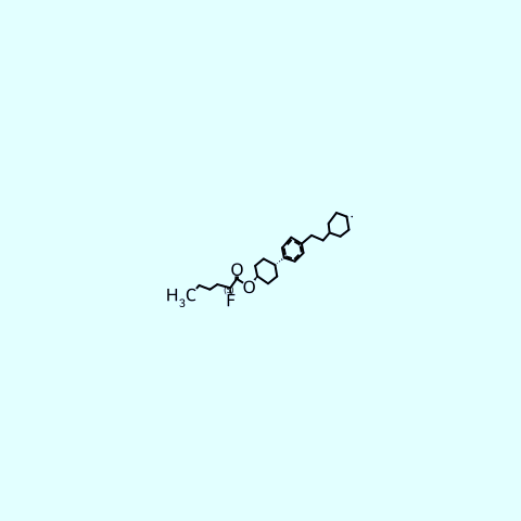 CCCC[C@H](F)C(=O)O[C@H]1CC[C@H](c2ccc(CCC3CC[CH]CC3)cc2)CC1